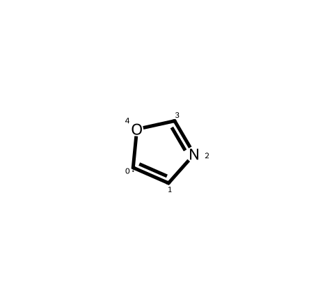 [c]1cnco1